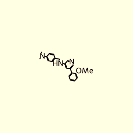 COc1ccccc1-c1cncc(NCc2ccc(N(C)C)cc2)c1